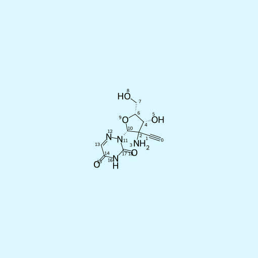 C#CC1(N)[C@@H](O)[C@@H](CO)O[C@H]1n1ncc(=O)[nH]c1=O